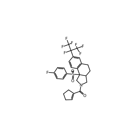 O=C(C1=CCCC1)N1CC2CCc3cc(C(F)(C(F)(F)F)C(F)(F)F)ccc3C2(S(=O)(=O)c2ccc(F)cc2)C1